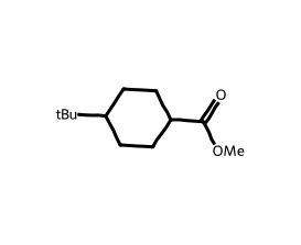 COC(=O)C1CCC(C(C)(C)C)CC1